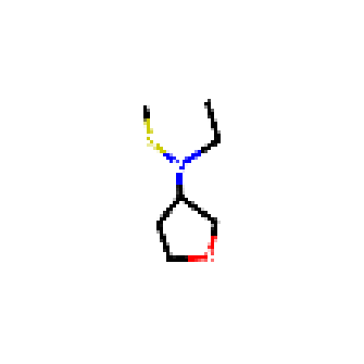 CCN(SC)C1CCOC1